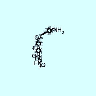 CC(=O)NC[C@H]1CN(c2ccc(N3CCN(C(=O)CCC#Cc4ccc(CN)cc4)CC3)c(F)c2)C(=O)O1